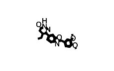 CCC1CC(=O)NN=C1c1ccc2nc(-c3ccc(OC)c(OC)c3)oc2c1